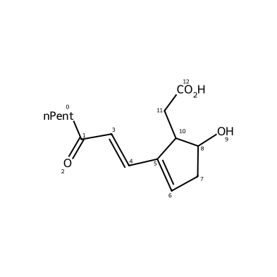 CCCCCC(=O)C=CC1=CCC(O)C1CC(=O)O